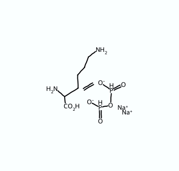 C=C.NCCCCC(N)C(=O)O.O=[PH]([O-])O[PH](=O)[O-].[Na+].[Na+]